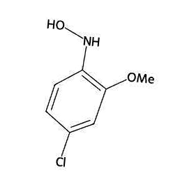 COc1cc(Cl)ccc1NO